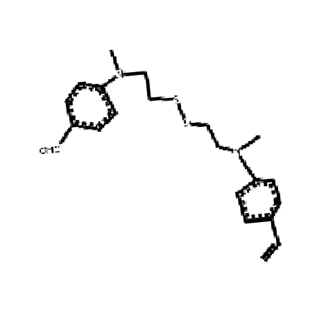 C=Cc1ccc(N(C)CCSSCCN(C)c2ccc(C=O)cc2)cc1